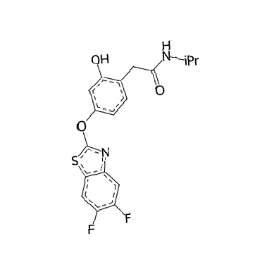 CC(C)NC(=O)Cc1ccc(Oc2nc3cc(F)c(F)cc3s2)cc1O